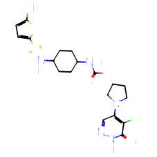 O=C(NC1CCC(NS(=O)(=O)c2ccc(Cl)s2)CC1)O[C@@H]1CCN(c2cn[nH]c(=O)c2Cl)C1